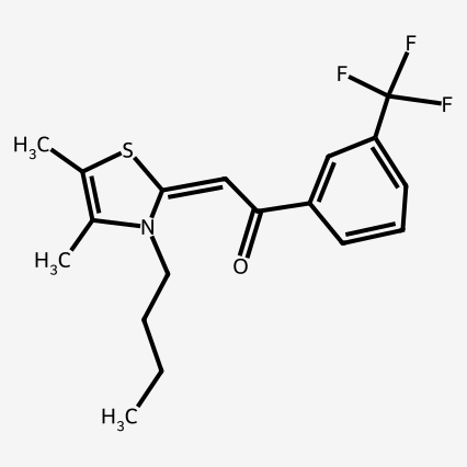 CCCCN1C(=CC(=O)c2cccc(C(F)(F)F)c2)SC(C)=C1C